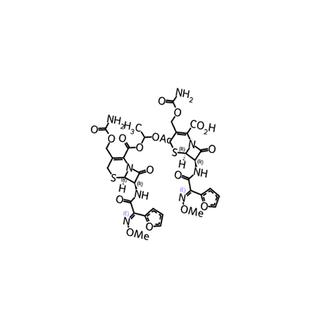 CO/N=C(/C(=O)N[C@@H]1C(=O)N2C(C(=O)O)=C(COC(N)=O)CS[C@H]12)c1ccco1.CO/N=C(/C(=O)N[C@@H]1C(=O)N2C(C(=O)OC(C)OC(C)=O)=C(COC(N)=O)CS[C@H]12)c1ccco1